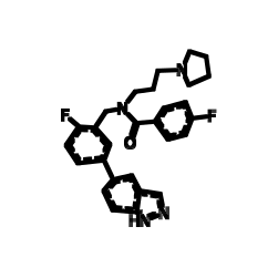 O=C(c1ccc(F)cc1)N(CCCN1CCCC1)Cc1cc(-c2ccc3[nH]ncc3c2)ccc1F